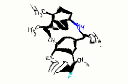 C=C(Nc1ccc(C)c(C(=C)C)c1)c1ccc(CC)c(C(C)(C)F)c1